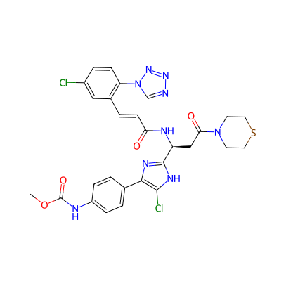 COC(=O)Nc1ccc(-c2nc([C@H](CC(=O)N3CCSCC3)NC(=O)C=Cc3cc(Cl)ccc3-n3cnnn3)[nH]c2Cl)cc1